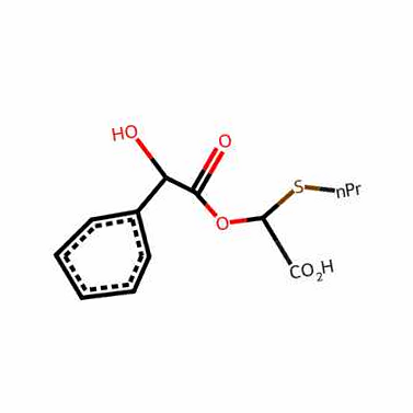 CCCSC(OC(=O)C(O)c1ccccc1)C(=O)O